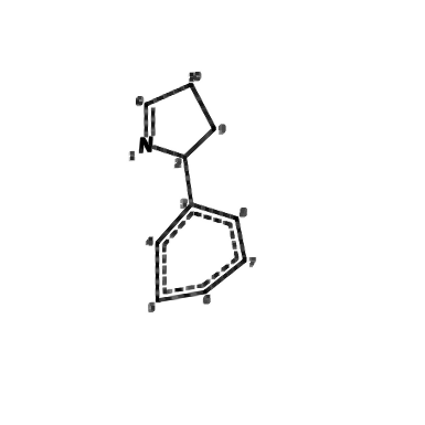 C1=NC(c2ccccc2)CC1